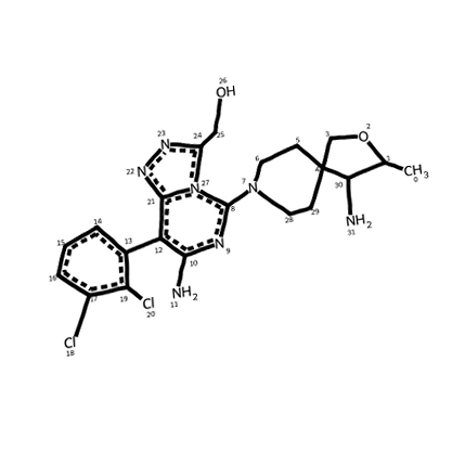 CC1OCC2(CCN(c3nc(N)c(-c4cccc(Cl)c4Cl)c4nnc(CO)n34)CC2)C1N